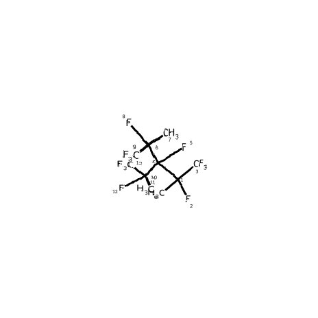 CC(F)(C(F)(F)F)C(F)(C(C)(F)C(F)(F)F)C(C)(F)C(F)(F)F